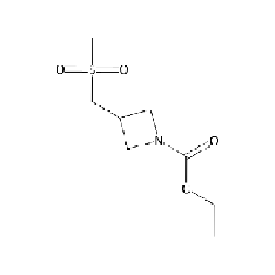 CCOC(=O)N1CC(CS(C)(=O)=O)C1